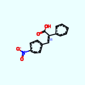 O=C(O)/C(=C\c1ccc([N+](=O)[O-])cc1)c1ccccc1